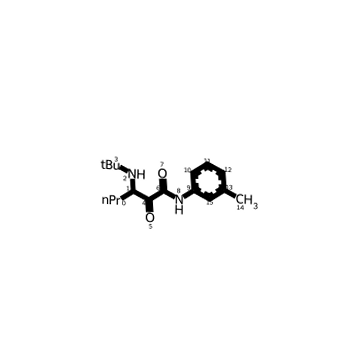 CCCC(NC(C)(C)C)C(=O)C(=O)Nc1cccc(C)c1